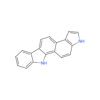 c1ccc2c(c1)[nH]c1c2ccc2c3cc[nH]c3ccc21